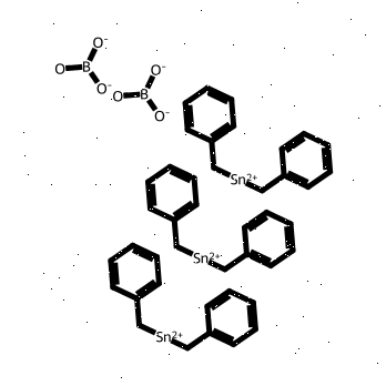 [O-]B([O-])[O-].[O-]B([O-])[O-].c1ccc([CH2][Sn+2][CH2]c2ccccc2)cc1.c1ccc([CH2][Sn+2][CH2]c2ccccc2)cc1.c1ccc([CH2][Sn+2][CH2]c2ccccc2)cc1